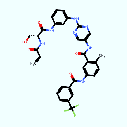 C=CC(=O)N[C@H](CO)C(=O)Nc1cccc(Nc2ncc(NC(=O)c3cc(NC(=O)c4cccc(C(F)(F)F)c4)ccc3C)cn2)c1